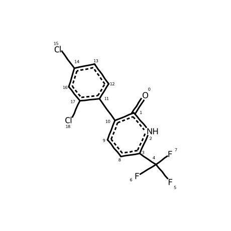 O=c1[nH]c(C(F)(F)F)ccc1-c1ccc(Cl)cc1Cl